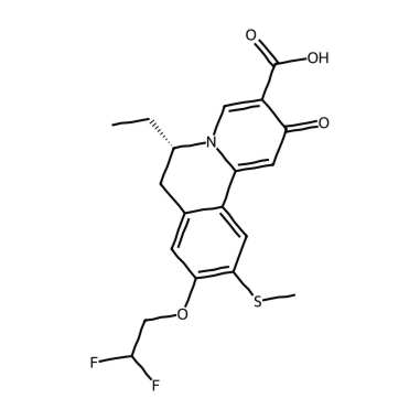 CC[C@H]1Cc2cc(OCC(F)F)c(SC)cc2-c2cc(=O)c(C(=O)O)cn21